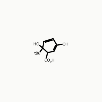 CC(C)(C)C1(O)C=CC(O)=CC1C(=O)O